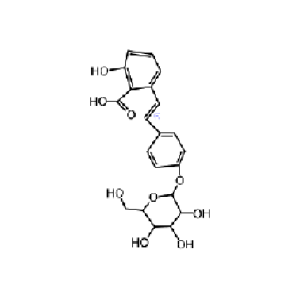 O=C(O)c1c(O)cccc1/C=C/c1ccc(OC2OC(CO)C(O)C(O)C2O)cc1